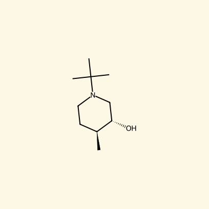 C[C@H]1CCN(C(C)(C)C)C[C@@H]1O